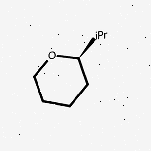 CC(C)[C@H]1CCCCO1